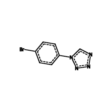 Brc1ccc(-n2cnnn2)cc1